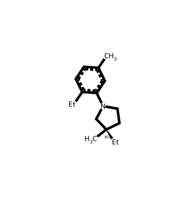 CCc1ccc(C)cc1N1CC[C@@](C)(CC)C1